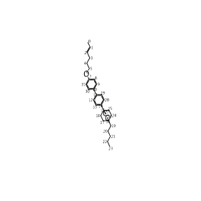 CC=CCCCOc1ccc(-c2ccc(C34CCC(CCCCC)(CC3)CC4)cc2)cc1